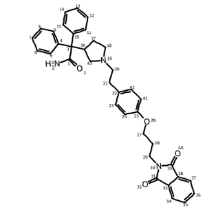 NC(=O)C(c1ccccc1)(c1ccccc1)C1CCN(CCc2ccc(OCCCN3C(=O)c4ccccc4C3=O)cc2)C1